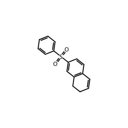 O=S(=O)(c1ccccc1)c1ccc2c(c1)CCC=C2